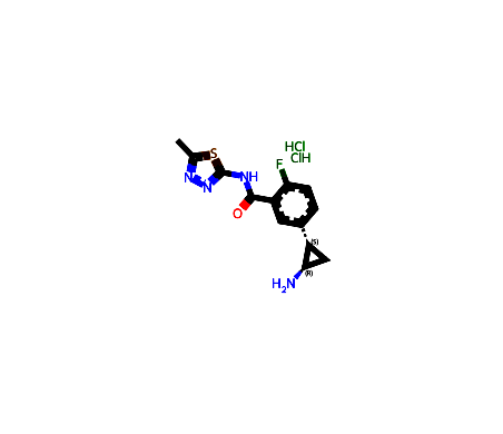 Cc1nnc(NC(=O)c2cc([C@@H]3C[C@H]3N)ccc2F)s1.Cl.Cl